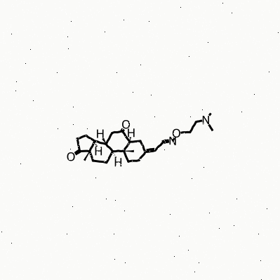 CN(C)CCO/N=C/C=C1/CC[C@@]2(C)[C@H](C1)C(=O)C[C@@H]1[C@@H]2CC[C@]2(C)C(=O)CC[C@@H]12